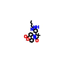 CCCCc1nc2cc(C3=NN(c4ccccc4-c4ccccc4C(=O)OC)C(=O)CC3(C)C)ccc2[nH]1